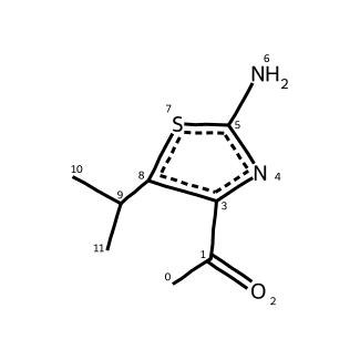 CC(=O)c1nc(N)sc1C(C)C